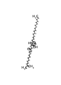 CCCCCCCCCCCCCCCCCC(=O)N[C@@H](CCC(=O)OCCCCCCCCCC(C)C)C(=O)O